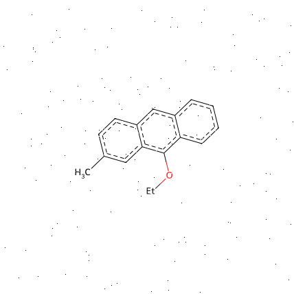 CCOc1c2ccccc2cc2ccc(C)cc12